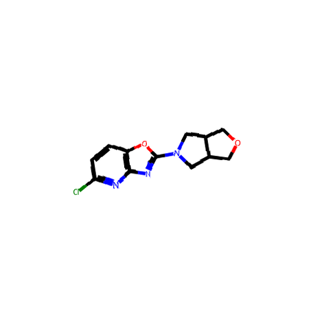 Clc1ccc2oc(N3CC4COCC4C3)nc2n1